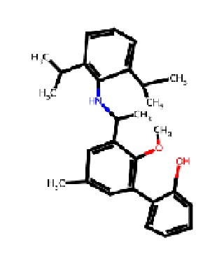 COc1c(-c2ccccc2O)cc(C)cc1C(C)Nc1c(C(C)C)cccc1C(C)C